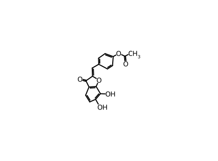 CC(=O)Oc1ccc(C=C2Oc3c(ccc(O)c3O)C2=O)cc1